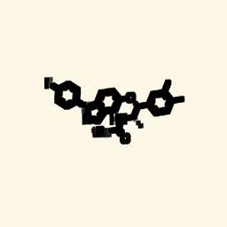 Cc1ccc([C@@H](Oc2ccc3c(cnn3-c3ccc(F)cc3)c2)[C@H](C)NC(=O)C(C)(C)C)cc1C